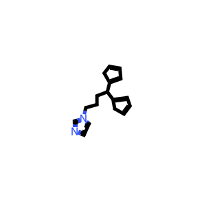 C1=CCC(C(CCCn2ccnc2)C2=CC=CC2)=C1